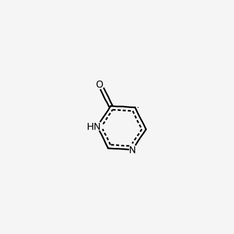 O=c1[c]cnc[nH]1